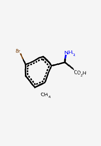 C.NC(C(=O)O)c1cccc(Br)c1